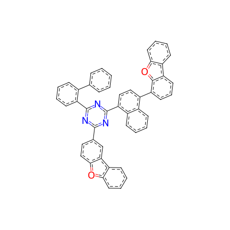 c1ccc(-c2ccccc2-c2nc(-c3ccc4oc5ccccc5c4c3)nc(-c3ccc(-c4cccc5c4oc4ccccc45)c4ccccc34)n2)cc1